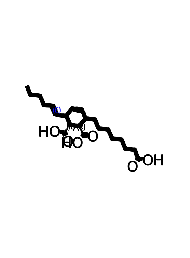 CCCC/C=C/C1C=CC(CCCCCCCC(=O)O)[C@@H](C(=O)O)[C@@H]1C(=O)O